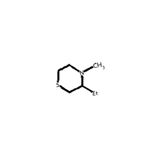 CCC1CSCCN1C